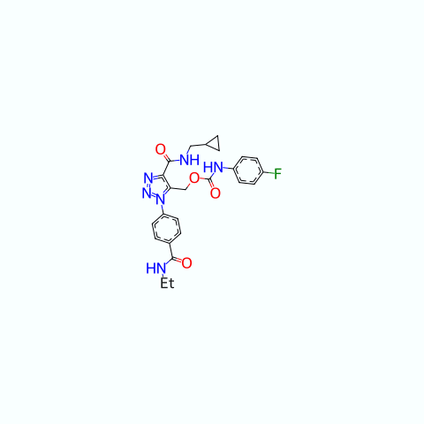 CCNC(=O)c1ccc(-n2nnc(C(=O)NCC3CC3)c2COC(=O)Nc2ccc(F)cc2)cc1